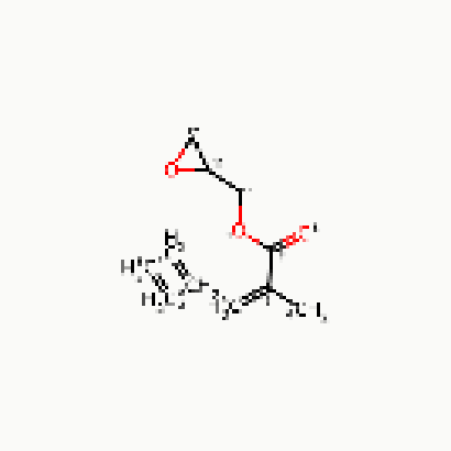 C=C.C=C.C=C(C)C(=O)OCC1CO1